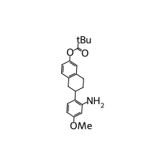 COc1ccc(C2CCc3cc(OC(=O)C(C)(C)C)ccc3C2)c(N)c1